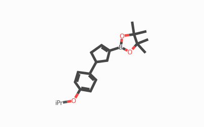 CC(C)Oc1ccc(C2CC=C(B3OC(C)(C)C(C)(C)O3)C2)cc1